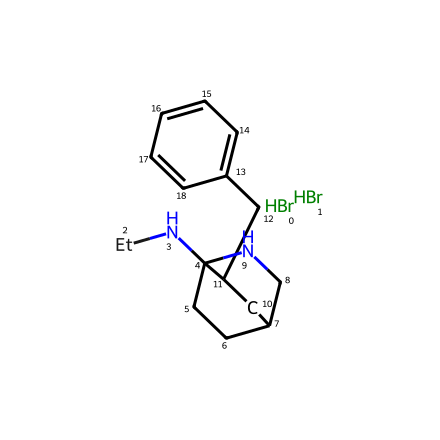 Br.Br.CCNC12CCC(CN1)CC2Cc1ccccc1